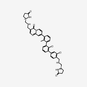 Cc1c(-c2ccn3c(=O)c(CNC[C@H]4CCC(=O)N4)cnc3c2)cccc1-c1cccc(-c2ccc(CNC[C@H]3CCC(=O)N3)c(Cl)c2)c1Cl